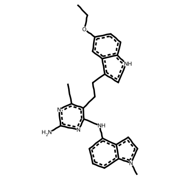 CCOc1ccc2[nH]cc(CCc3c(C)nc(N)nc3Nc3cccc4c3ccn4C)c2c1